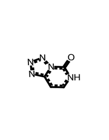 O=c1[nH]ccc2nnnn12